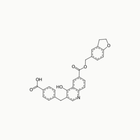 O=C(O)c1ccc(Cc2cnc3ccc(C(=O)OCc4ccc5c(c4)CCO5)cc3c2O)cc1